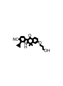 CC1(C)c2cc(OCCCO)ccc2C(=O)c2c1[nH]c1c(C3CC3)c(C#N)ccc21